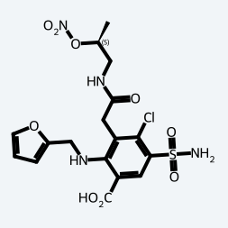 C[C@@H](CNC(=O)Cc1c(Cl)c(S(N)(=O)=O)cc(C(=O)O)c1NCc1ccco1)O[N+](=O)[O-]